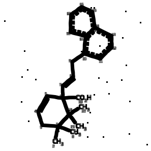 CC1(C)CC=CC(C=CCc2cccc3ccccc23)(C(=O)O)C1(C)C